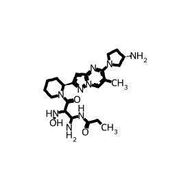 CCC(=O)NC(N)C(NO)C(=O)N1CCCC[C@H]1c1cc2nc(N3CC[C@H](N)C3)c(C)cn2n1